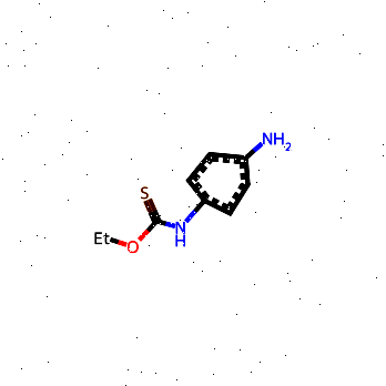 CCOC(=S)Nc1ccc(N)cc1